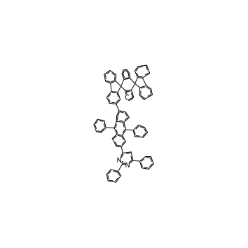 c1ccc(-c2cc(-c3ccc4c(-c5ccccc5)c5cc(-c6ccc7c(c6)C6(c8ccccc8-7)c7ccccc7C7(c8ccccc8-c8ccccc87)c7ccccc76)ccc5c(-c5ccccc5)c4c3)nc(-c3ccccc3)n2)cc1